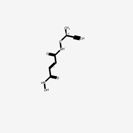 C#C[C@H](C)ONC(=O)/C=C/C(=O)NO